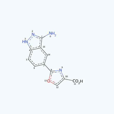 Nc1n[nH]c2ccc(-c3nc(C(=O)O)co3)cc12